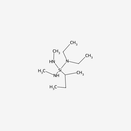 CCC(C)[Si](NC)(NC)N(CC)CC